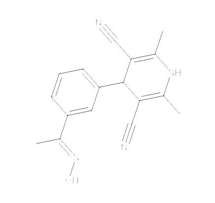 CC(=NO)c1cccc(C2C(C#N)=C(C)NC(C)=C2C#N)c1